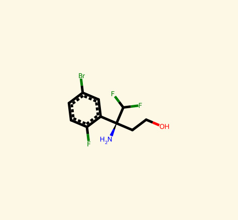 N[C@@](CCO)(c1cc(Br)ccc1F)C(F)F